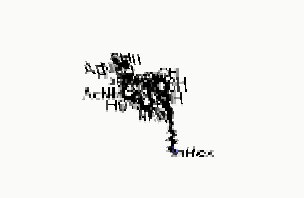 CCCCCC/C=C\CCCCCCCC(=O)NC1C(OC2C(CO)OC(OC3C(CO)OC(O[C@@H](C)C(OC(O)[C@H](CO)NC(C)=O)OS(=O)(=O)O)C(NC(C)=O)C3O)C(NC(C)=O)C2O)OC(COC(C)=O)C(O)C1O